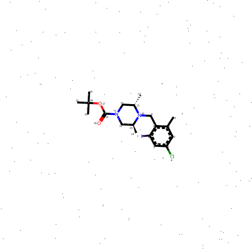 Cc1cc(Cl)cc(I)c1CN1[C@@H](C)CN(C(=O)OC(C)(C)C)C[C@@H]1C